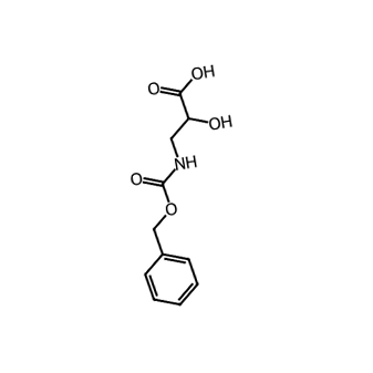 O=C(NCC(O)C(=O)O)OCc1ccccc1